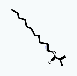 C=C(C)C(=O)O/C=C/CCCCCCCCC